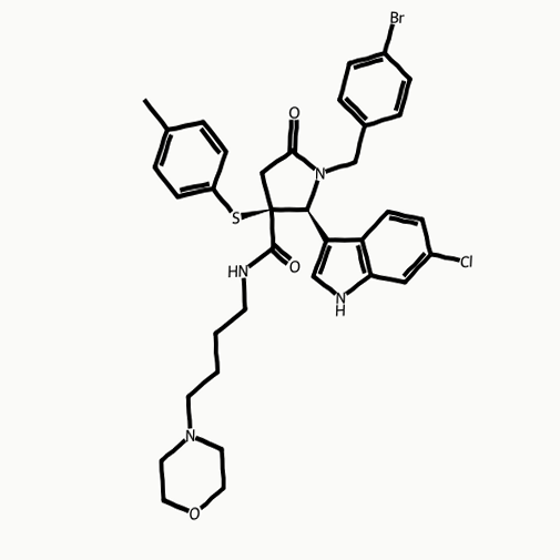 Cc1ccc(S[C@@]2(C(=O)NCCCCN3CCOCC3)CC(=O)N(Cc3ccc(Br)cc3)[C@H]2c2c[nH]c3cc(Cl)ccc23)cc1